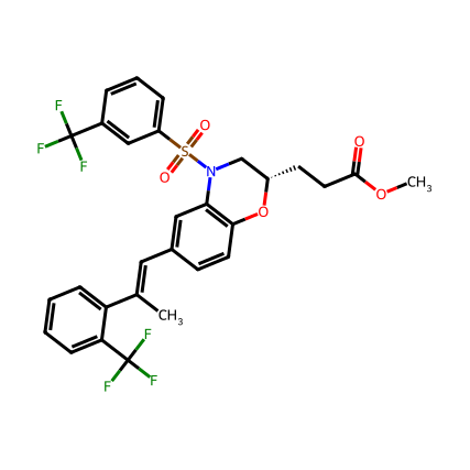 COC(=O)CC[C@H]1CN(S(=O)(=O)c2cccc(C(F)(F)F)c2)c2cc(/C=C(\C)c3ccccc3C(F)(F)F)ccc2O1